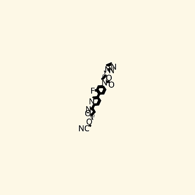 N#CCOC[C@@H]1CC(c2ccc(-c3ccc(N4C[C@H](Cn5ccnn5)OC4=O)cc3F)cn2)=NO1